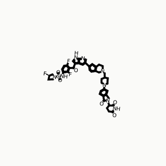 O=C1CCC(N2Cc3cc(N4CCC(CN5CCc6cc(-c7cnc8[nH]cc(C(=O)c9c(F)ccc(NS(=O)(=O)N%10CC[C@@H](F)C%10)c9F)c8c7)ccc6C5)CC4)ccc3C2=O)C(=O)N1